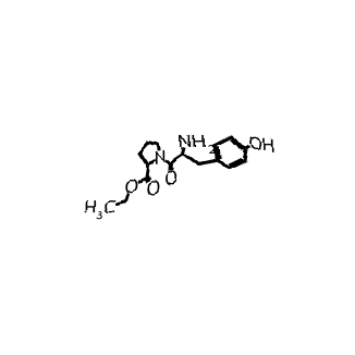 CCOC(=O)C1CCCN1C(=O)C(N)Cc1ccc(O)cc1